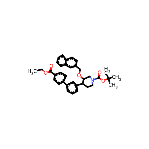 CCOC(=O)c1ccc(-c2cccc(C3CCN(C(=O)OC(C)(C)C)CC3OCc3ccc4ccccc4c3)c2)cc1